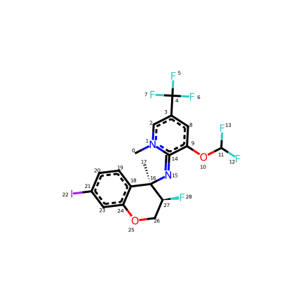 Cn1cc(C(F)(F)F)cc(OC(F)F)/c1=N/[C@]1(C)c2ccc(I)cc2OC[C@@H]1F